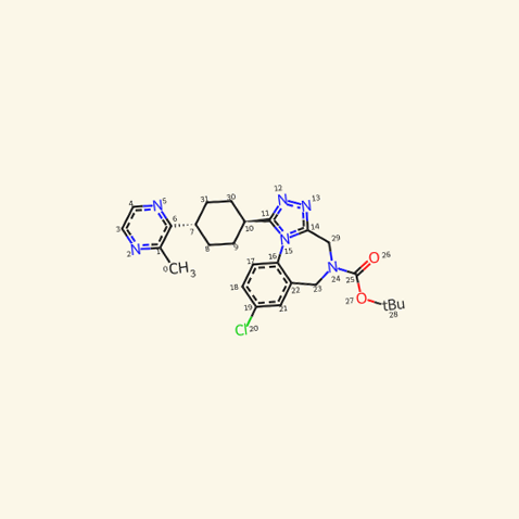 Cc1nccnc1[C@H]1CC[C@H](c2nnc3n2-c2ccc(Cl)cc2CN(C(=O)OC(C)(C)C)C3)CC1